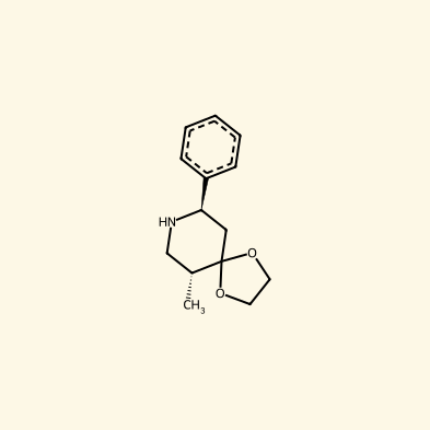 C[C@@H]1CN[C@@H](c2ccccc2)CC12OCCO2